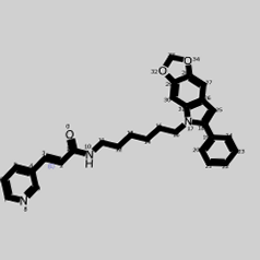 O=C(/C=C/c1cccnc1)NCCCCCCn1c(-c2ccccc2)cc2cc3c(cc21)OCO3